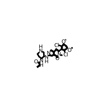 C=CC(=O)N[C@H]1CCNC[C@H]1Nc1cc2c(=O)n(C)c(-c3c(Cl)c(OC)cc(OC)c3Cl)cc2cn1